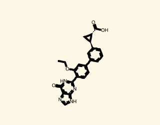 CCOc1cc(-c2cccc([C@H]3C[C@@H]3C(=O)O)c2)ccc1-c1nc2[nH]cnc2c(=O)[nH]1